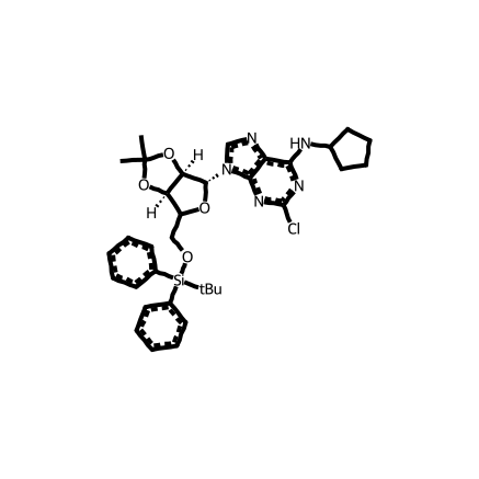 CC1(C)O[C@@H]2[C@H](O1)C(CO[Si](c1ccccc1)(c1ccccc1)C(C)(C)C)O[C@H]2n1cnc2c(NC3CCCC3)nc(Cl)nc21